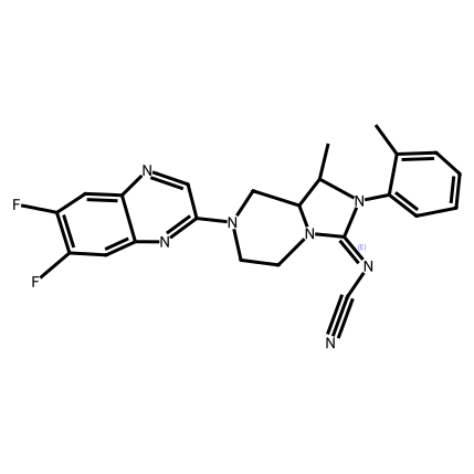 Cc1ccccc1N1/C(=N/C#N)N2CCN(c3cnc4cc(F)c(F)cc4n3)CC2C1C